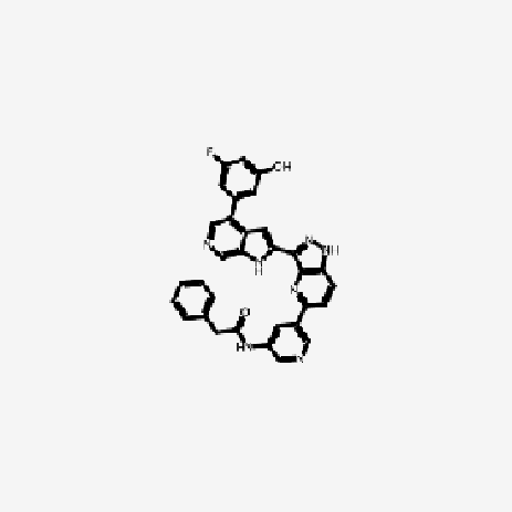 O=C(Cc1ccccc1)Nc1cncc(-c2ccc3[nH]nc(-c4cc5c(-c6cc(O)cc(F)c6)cncc5[nH]4)c3n2)c1